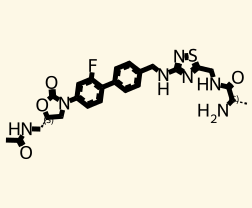 CC(=O)NC[C@H]1CN(c2ccc(-c3ccc(CNc4nsc(CNC(=O)[C@H](C)N)n4)cc3)c(F)c2)C(=O)O1